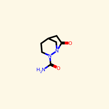 NC(=O)N1CCC2CC(=O)N1C2